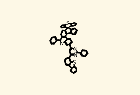 c1ccc(-c2nc(-c3ccc4c(c3)nc(-c3ccccc3)c3ccc5c(c34)-c3ccccc3C53c4ccccc4Sc4ccccc43)cc(-c3cccc4c3sc3ccccc34)n2)cc1